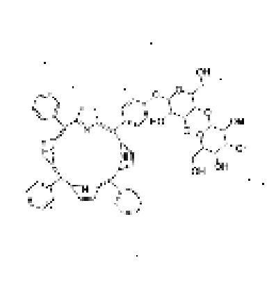 OCC1OC(OC2C(CO)OC(Oc3ccc(-c4c5nc(c(-c6ccccc6)c6ccc([nH]6)c(-c6ccccc6)c6nc(c(-c7ccccc7)c7ccc4[nH]7)C=C6)C=C5)cc3)C(O)C2O)C(O)C(O)C1O